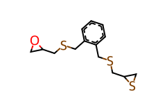 c1ccc(CSCC2CS2)c(CSCC2CO2)c1